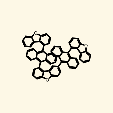 c1ccc2c(c1)oc1cccc(-c3c4ccccc4c(-c4ccc5oc6cccc(-c7c8ccccc8c(-c8cccc9oc%10ccccc%10c89)c8ccccc78)c6c5c4)c4ccccc34)c12